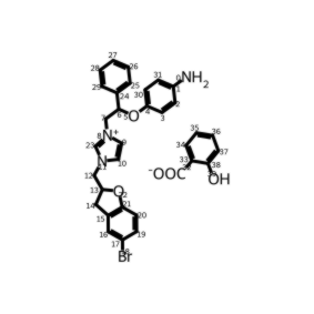 Nc1ccc(OC(C[n+]2ccn(CC3Cc4cc(Br)ccc4O3)c2)c2ccccc2)cc1.O=C([O-])c1ccccc1O